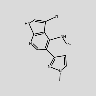 CC(C)Nc1c(-c2ccn(C)n2)cnc2[nH]cc(Cl)c12